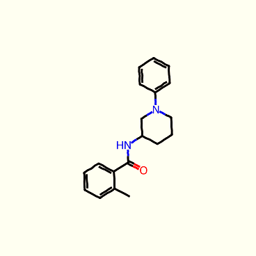 Cc1ccccc1C(=O)NC1CCCN(c2ccccc2)C1